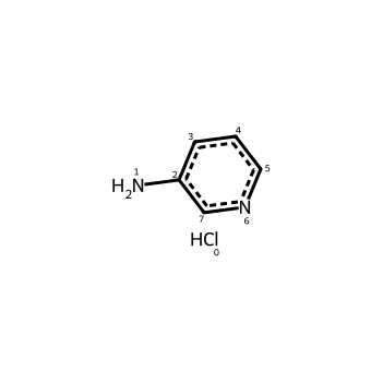 Cl.Nc1cccnc1